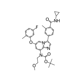 COCCN(C(=O)OC(C)(C)C)c1cc(Oc2cc(F)ccc2C)cn2c(-c3ccc(C(=O)NC4CC4)c(C)c3)cnc12